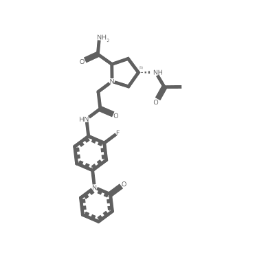 CC(=O)N[C@H]1[CH]C(C(N)=O)N(CC(=O)Nc2ccc(-n3ccccc3=O)cc2F)C1